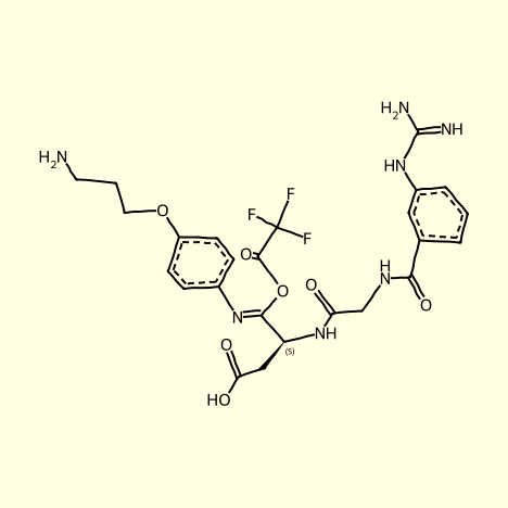 N=C(N)Nc1cccc(C(=O)NCC(=O)N[C@@H](CC(=O)O)C(=Nc2ccc(OCCCN)cc2)OC(=O)C(F)(F)F)c1